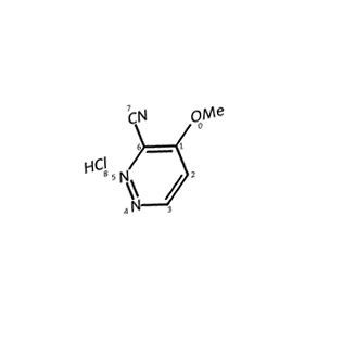 COc1ccnnc1C#N.Cl